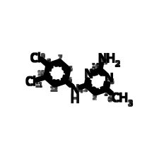 Cc1cc(Nc2ccc(Cl)c(Cl)c2)nc(N)n1